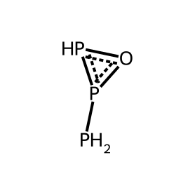 Pp1o[pH]1